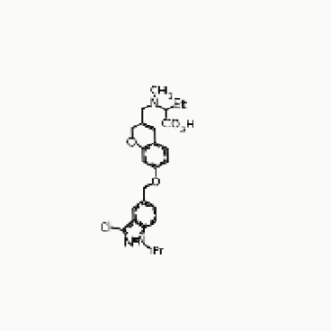 CCC(C(=O)O)N(C)CC1=Cc2ccc(OCc3ccc4c(c3)c(Cl)nn4C(C)C)cc2OC1